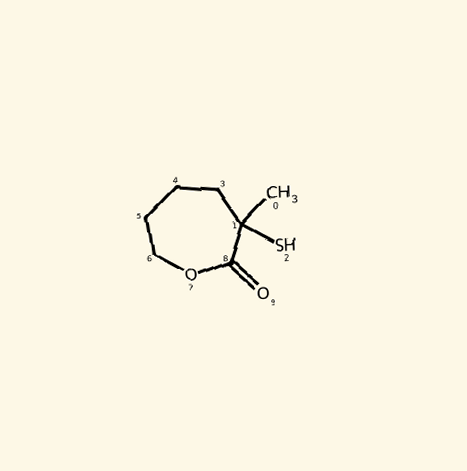 CC1(S)CCCCOC1=O